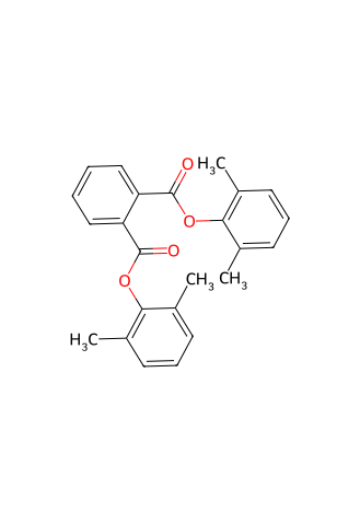 Cc1cccc(C)c1OC(=O)c1ccccc1C(=O)Oc1c(C)cccc1C